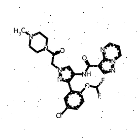 CN1CCN(C(=O)Cn2cc(NC(=O)c3cnn4cccnc34)c(-c3cc(Cl)ccc3OC(F)F)n2)CC1